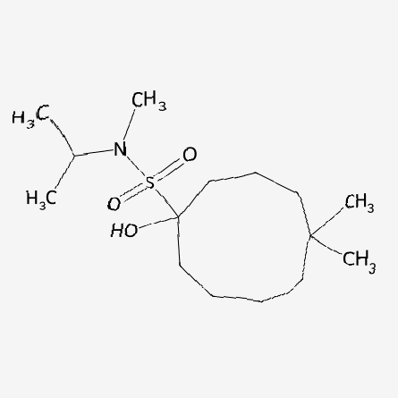 CC(C)N(C)S(=O)(=O)C1(O)CCCCC(C)(C)CCC1